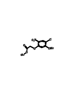 COc1cc(OCC(=O)OC(C)(C)C)c([N+](=O)[O-])cc1Cl